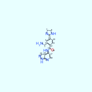 NCc1cc(C2=NCCN2)ccc1C(=O)Nc1ccnc2[nH]ncc12